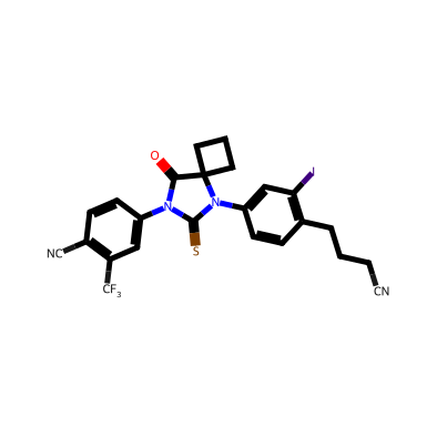 N#CCCCc1ccc(N2C(=S)N(c3ccc(C#N)c(C(F)(F)F)c3)C(=O)C23CCC3)cc1I